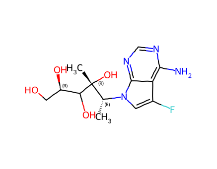 C[C@@H](n1cc(F)c2c(N)ncnc21)[C@@](C)(O)C(O)[C@H](O)CO